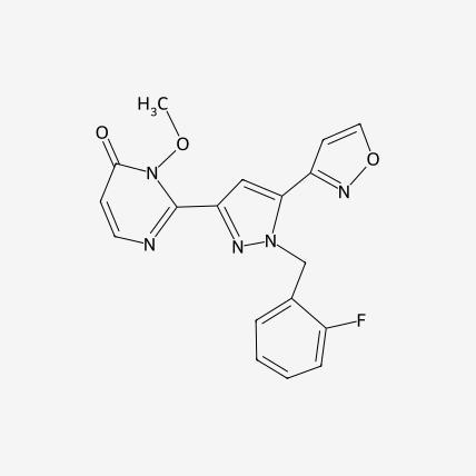 COn1c(-c2cc(-c3ccon3)n(Cc3ccccc3F)n2)nccc1=O